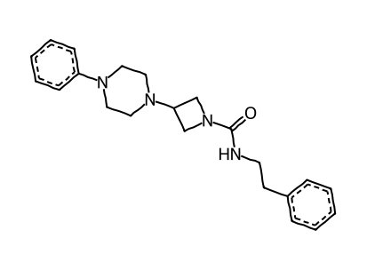 O=C(NCCc1ccccc1)N1CC(N2CCN(c3ccccc3)CC2)C1